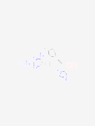 Cn1cncc1C(O)C#Cc1ccc2c(c1)N(c1nc(N)ncc1Cl)CC2(C)C